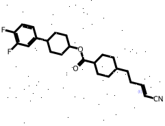 N#C/C=C/CCC1CCC(C(=O)OC2CCC(c3ccc(F)c(F)c3)CC2)CC1